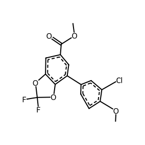 COC(=O)c1cc2c(c(-c3ccc(OC)c(Cl)c3)c1)OC(F)(F)O2